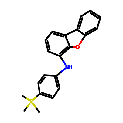 CS(C)(C)c1ccc(Nc2cccc3c2oc2ccccc23)cc1